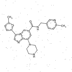 Cc1ccc(CNC(=O)c2cc(N3CCNCC3)c3ncc(-c4ccc(C)s4)n3c2)cn1